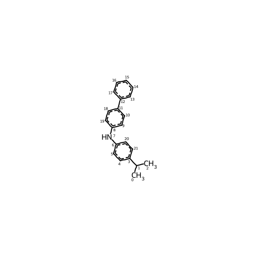 CC(C)c1ccc(Nc2ccc(-c3ccccc3)cc2)cc1